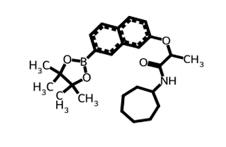 CC(Oc1ccc2ccc(B3OC(C)(C)C(C)(C)O3)cc2c1)C(=O)NC1CCCCCC1